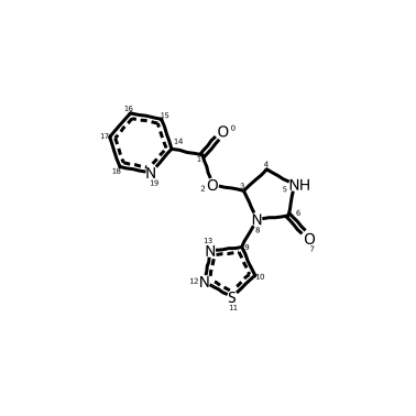 O=C(OC1CNC(=O)N1c1csnn1)c1ccccn1